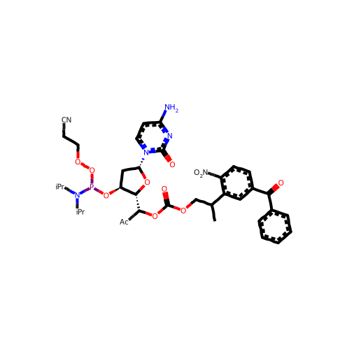 CC(=O)C(OC(=O)OCC(C)c1cc(C(=O)c2ccccc2)ccc1[N+](=O)[O-])[C@H]1O[C@@H](n2ccc(N)nc2=O)C[C@@H]1OP(OOCCC#N)N(C(C)C)C(C)C